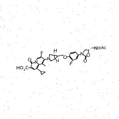 CC(=O)NC[C@H]1CN(c2ccc(OCC3[C@H]4CN(c5c(F)cn6c(=O)c(C(=O)O)cc(C7CC7)c6c5C)C[C@@H]34)c(F)c2)C(=O)O1